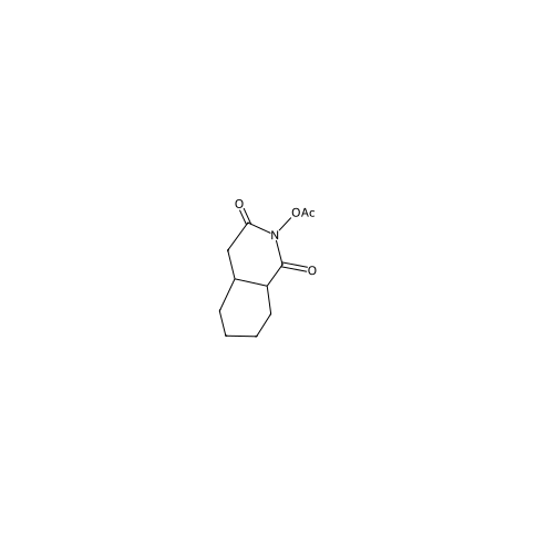 CC(=O)ON1C(=O)CC2CCCCC2C1=O